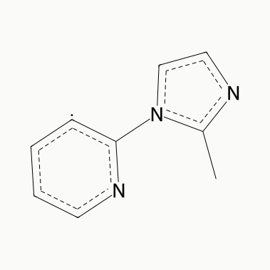 Cc1nccn1-c1[c]cccn1